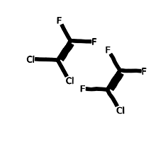 FC(F)=C(Cl)Cl.FC(F)=C(F)Cl